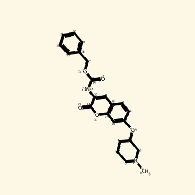 CN1CCCC(Oc2ccc3cc(NC(=O)OCc4ccccc4)c(=O)oc3c2)C1